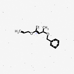 C=CCO/C(=C/C(C)OCc1ccccc1)CC